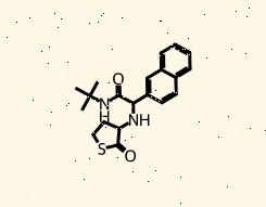 CC(C)(C)NC(=O)C(NC1CCSC1=O)c1ccc2ccccc2c1